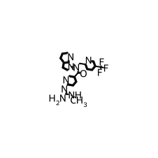 CNC(N)=Nc1ccc(C(=O)N(Cc2ccc(C(F)(F)F)cn2)n2ccc3cccnc32)cn1